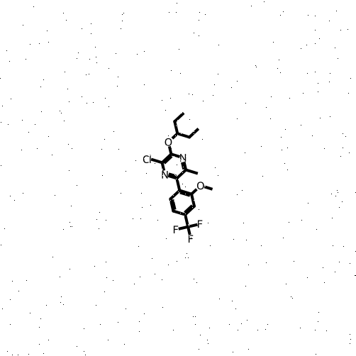 CCC(CC)Oc1nc(C)c(-c2ccc(C(F)(F)F)cc2OC)nc1Cl